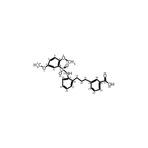 COc1ccc(OC)c(S(=O)(=O)Nc2ccccc2CCCc2cccc(C(=O)O)c2)c1